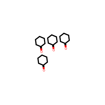 O=C1CCCCC1.O=C1CCCCC1.O=C1CCCCC1.O=C1CCCCC1